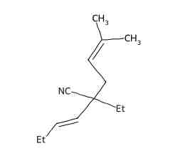 CCC=CC(C#N)(CC)CC=C(C)C